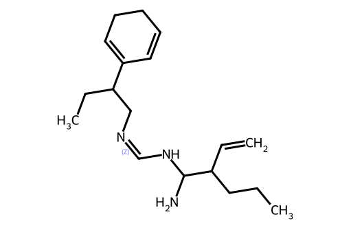 C=CC(CCC)C(N)N/C=N\CC(CC)C1=CCCC=C1